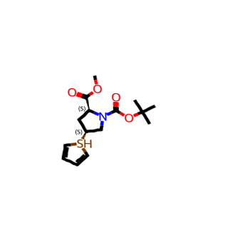 COC(=O)[C@@H]1C[C@H]([SH]2C=CC=C2)CN1C(=O)OC(C)(C)C